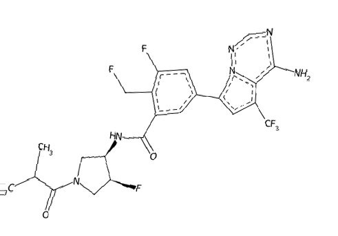 CC(C(=O)N1C[C@H](F)[C@H](NC(=O)c2cc(-c3cc(C(F)(F)F)c4c(N)ncnn34)cc(F)c2CF)C1)C(F)(F)F